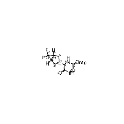 COC(=O)NC(C(=O)C(C)C)[C@H]1C[C@@H]2[C@H](C1)C2(F)F